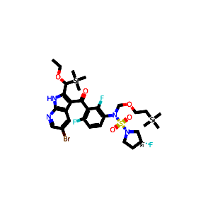 CCOC(c1[nH]c2ncc(Br)cc2c1C(=O)c1c(F)ccc(N(COCC[Si](C)(C)C)S(=O)(=O)N2CC[C@@H](F)C2)c1F)[Si](C)(C)C